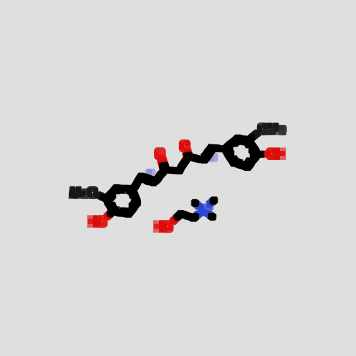 COc1cc(/C=C/C(=O)CC(=O)/C=C/c2ccc(O)c(OC)c2)ccc1O.C[N+](C)(C)CCO